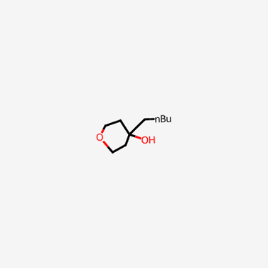 CCCCCC1(O)CCOCC1